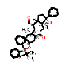 CC(C)(C)[Si](O[C@H]1CC[C@@](C)([C@H]2CC[C@@]3(C)[C@@H](CC[C@@]3(O)c3ccccc3)[C@@H]2C=O)[C@@H](C=O)C1)(c1ccccc1)c1ccccc1